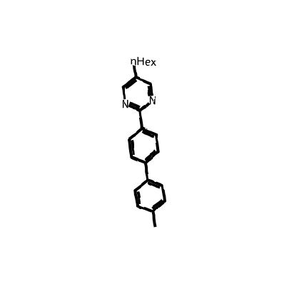 CCCCCCc1cnc(-c2ccc(-c3ccc(C)cc3)cc2)nc1